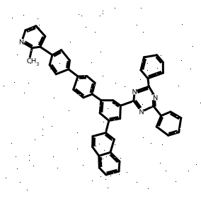 Cc1ncccc1-c1ccc(-c2ccc(-c3cc(-c4ccc5ccccc5c4)cc(-c4nc(-c5ccccc5)nc(-c5ccccc5)n4)c3)cc2)cc1